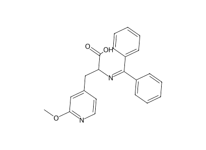 COc1cc(CC(N=C(c2ccccc2)c2ccccc2)C(=O)O)ccn1